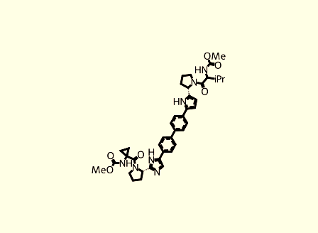 COC(=O)NC(C(=O)N1CCC[C@H]1c1ccc(-c2ccc(-c3ccc(-c4cnc([C@@H]5CCCN5C(=O)C5(NC(=O)OC)CC5)[nH]4)cc3)cc2)[nH]1)C(C)C